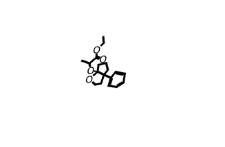 CCOC(=O)C(C)O[C@@]12CCCC1(c1ccccc1)CCO2